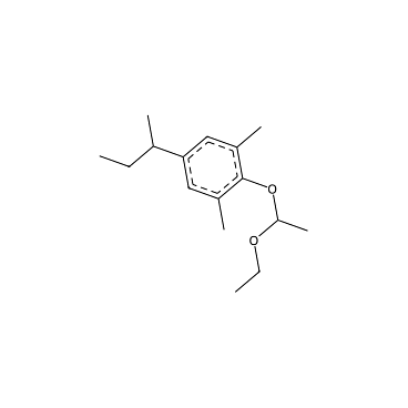 CCOC(C)Oc1c(C)cc(C(C)CC)cc1C